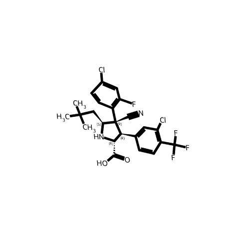 CC(C)(C)C[C@@H]1N[C@@H](C(=O)O)[C@H](c2ccc(C(F)(F)F)c(Cl)c2)[C@@]1(C#N)c1ccc(Cl)cc1F